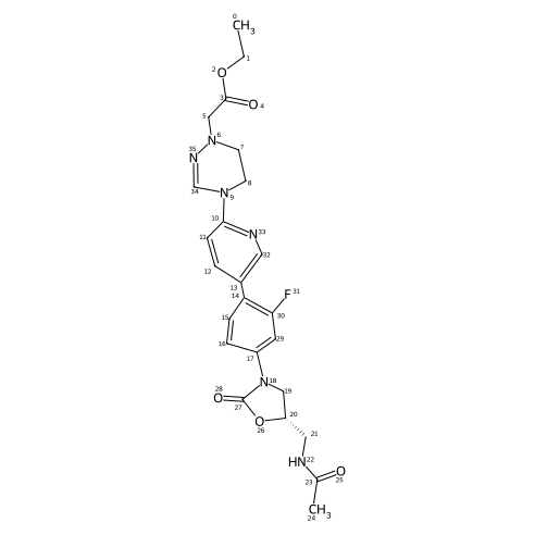 CCOC(=O)CN1CCN(c2ccc(-c3ccc(N4C[C@H](CNC(C)=O)OC4=O)cc3F)cn2)C=N1